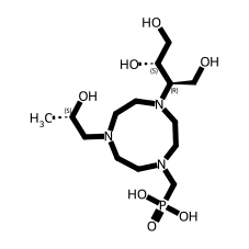 C[C@H](O)CN1CCN(CP(=O)(O)O)CCN([C@H](CO)[C@H](O)CO)CC1